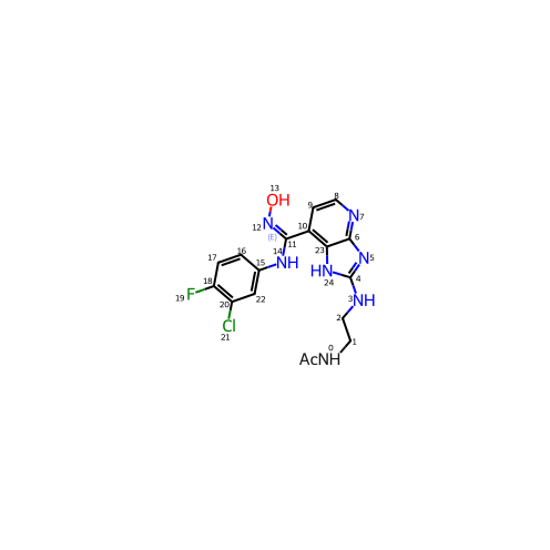 CC(=O)NCCNc1nc2nccc(/C(=N\O)Nc3ccc(F)c(Cl)c3)c2[nH]1